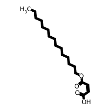 CCCCCCCCCCCCCCCOC(=O)/C=C\C(=O)O